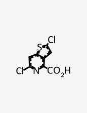 O=C(O)c1nc(Cl)cc2sc(Cl)cc12